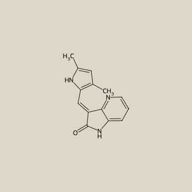 Cc1cc(C)c(C=C2C(=O)Nc3cccnc32)[nH]1